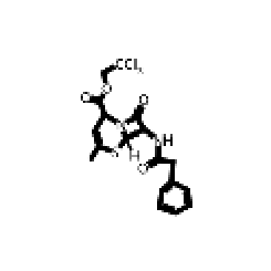 CC1=CC(C(=O)OCC(Cl)(Cl)Cl)N2C(=O)C(NC(=O)Cc3ccccc3)[C@@H]2S1